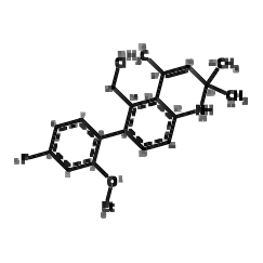 CCOc1cc(F)ccc1-c1ccc2c(c1CCl)C(C)=CC(C)(C)N2